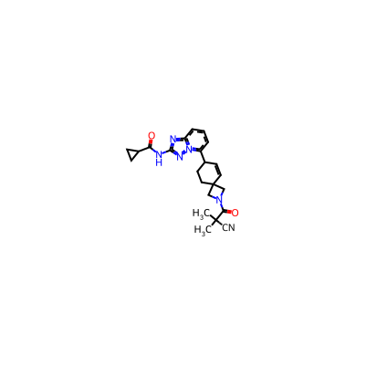 CC(C)(C#N)C(=O)N1CC2(C=CC(c3cccc4nc(NC(=O)C5CC5)nn34)CC2)C1